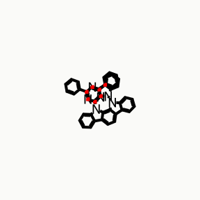 c1ccc(-c2nc(-c3ccccc3)nc(-n3c4ccccc4c4ccc5c6ccccc6n(-n6c7ccccc7c7ccccc76)c5c43)n2)cc1